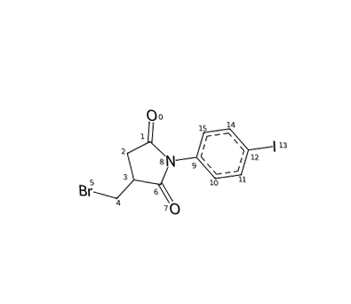 O=C1CC(CBr)C(=O)N1c1ccc(I)cc1